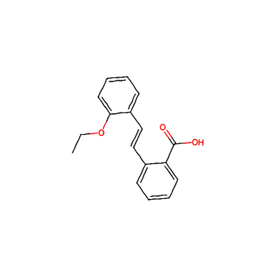 CCOc1ccccc1/C=C/c1ccccc1C(=O)O